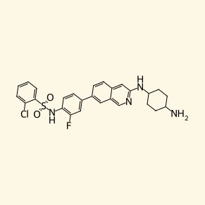 NC1CCC(Nc2cc3ccc(-c4ccc(NS(=O)(=O)c5ccccc5Cl)c(F)c4)cc3cn2)CC1